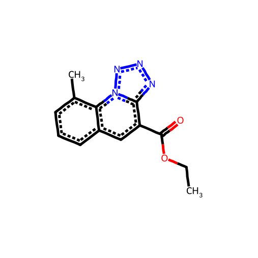 CCOC(=O)c1cc2cccc(C)c2n2nnnc12